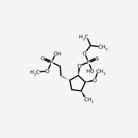 CO[C@@H]1[C@H](OP(O)(=S)OC(C)C)[C@@H](CCP(=O)(O)OC)C[C@@H]1C